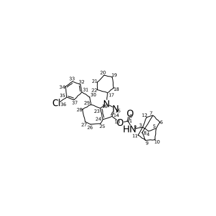 O=C(NC12CC3CC(CC(C3)C1)C2)Oc1nn(C2CCCCC2)c2c1CCCCC2Cc1cccc(Cl)c1